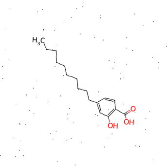 CCCCCCCCCCc1ccc(C(=O)O)c(O)c1